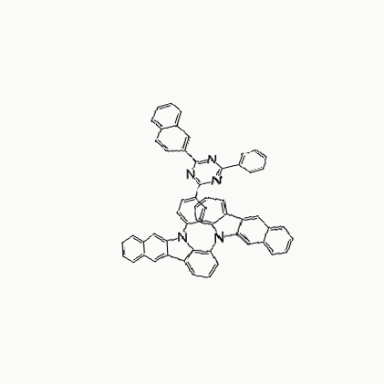 c1ccc(-c2nc(-c3ccc(-n4c5cc6ccccc6cc5c5cccc(-n6c7ccccc7c7cc8ccccc8cc76)c54)cc3)nc(-c3ccc4ccccc4c3)n2)cc1